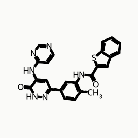 Cc1ccc(-c2cc(Nc3ccncn3)c(=O)[nH]n2)cc1NC(=O)c1cc2ccccc2s1